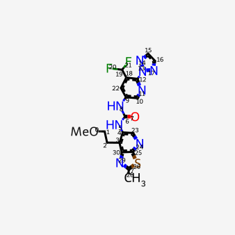 COCCc1c(NC(=O)Nc2cnc(-n3nccn3)c(C(F)F)c2)cnc2sc(C)nc12